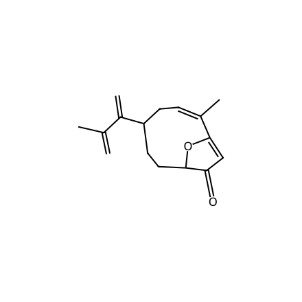 C=C(C)C(=C)C1C/C=C(/C)C2=CC(=O)C(CC1)O2